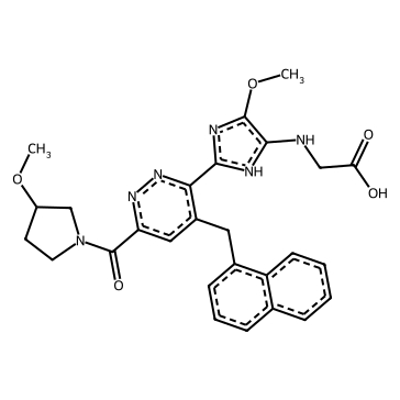 COc1nc(-c2nnc(C(=O)N3CCC(OC)C3)cc2Cc2cccc3ccccc23)[nH]c1NCC(=O)O